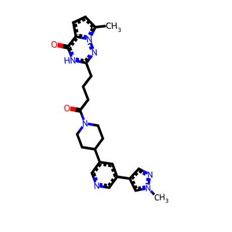 Cc1ccc2c(=O)[nH]c(CCCC(=O)N3CCC(c4cncc(-c5cnn(C)c5)c4)CC3)nn12